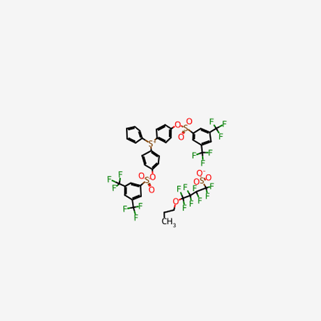 CCCOC(F)(F)C(F)(F)C(F)(F)C(F)(F)S(=O)(=O)[O-].O=S(=O)(Oc1ccc([S+](c2ccccc2)c2ccc(OS(=O)(=O)c3cc(C(F)(F)F)cc(C(F)(F)F)c3)cc2)cc1)c1cc(C(F)(F)F)cc(C(F)(F)F)c1